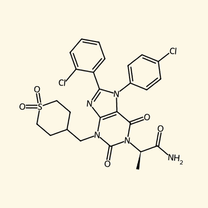 C[C@H](C(N)=O)n1c(=O)c2c(nc(-c3ccccc3Cl)n2-c2ccc(Cl)cc2)n(CC2CCS(=O)(=O)CC2)c1=O